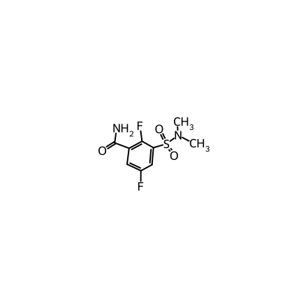 CN(C)S(=O)(=O)c1cc(F)cc(C(N)=O)c1F